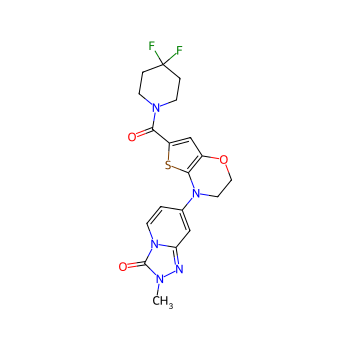 Cn1nc2cc(N3CCOc4cc(C(=O)N5CCC(F)(F)CC5)sc43)ccn2c1=O